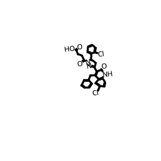 O=C(O)CCC(=O)N1N=C(c2c(Cc3ccccc3)c3cc(Cl)ccc3[nH]c2=O)CC1c1ccccc1Cl